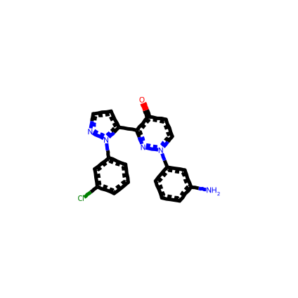 Nc1cccc(-n2ccc(=O)c(-c3ccnn3-c3cccc(Cl)c3)n2)c1